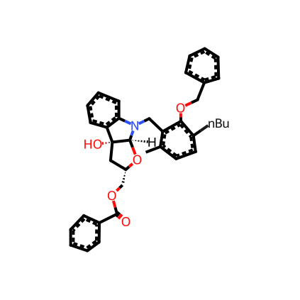 CCCCc1ccc(C)c(CN2c3ccccc3[C@]3(O)C[C@@H](COC(=O)c4ccccc4)O[C@H]23)c1OCc1ccccc1